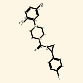 O=C([C@H]1CC1c1ccc(F)cc1)N1CCN(c2cc(Cl)ccc2C(F)(F)F)CC1